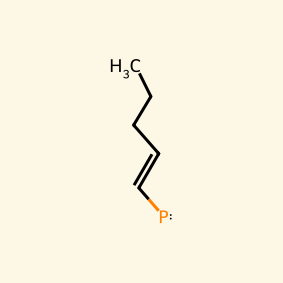 CCCC=C[P]